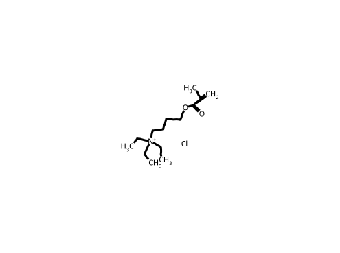 C=C(C)C(=O)OCCCC[N+](CC)(CC)CC.[Cl-]